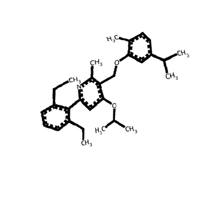 CCc1cccc(CC)c1-c1cc(OC(C)C)c(COc2cc(C(C)C)ccc2C)c(C)n1